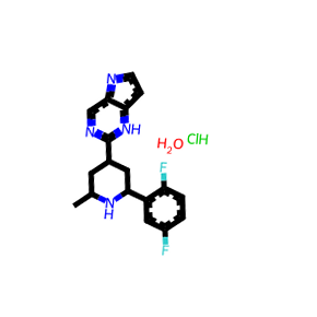 CC1CC(c2ncc3nccc-3[nH]2)CC(c2cc(F)ccc2F)N1.Cl.O